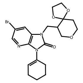 O=c1n(CC2COCCC23OCCO3)c2cc(Br)cnc2n1C1=CCCCC1